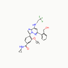 COc1cc(C(=O)NC2CC2)ccc1-c1cnc2c(NCCC(F)(F)F)cc(-c3ccccc3CO)nn12